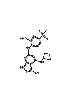 COc1cc(S(C)(=O)=O)ccc1Nc1cc(NC2CCC2)c2c(C#N)c[nH]c2n1